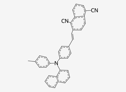 [C-]#[N+]c1c(C=Cc2ccc(N(c3ccc(C)cc3)c3cccc4ccccc34)cc2)ccc2c(C#N)cccc12